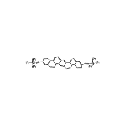 CC(C)[Si](C#Cc1ccc2c(ccc3c4cc5ccc6c7ccc(C#C[Si](C(C)C)(C(C)C)C(C)C)cc7ccc6c5cc4ccc23)c1)(C(C)C)C(C)C